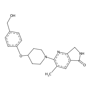 Cc1cc2c(nc1N1CCC(Oc3ccc(CO)cc3)CC1)CNC2=O